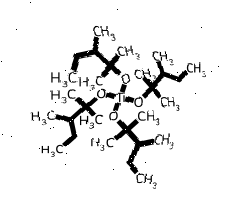 CCC(C)C(C)(C)[O][Ti]([O]C(C)(C)C(C)CC)([O]C(C)(C)C(C)CC)[O]C(C)(C)C(C)CC